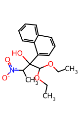 CCOC(OCC)C(O)(c1cccc2ccccc12)C(C)[N+](=O)[O-]